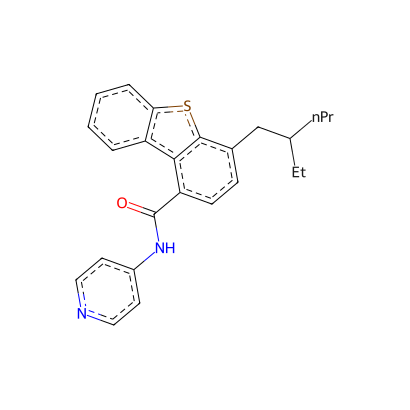 CCCC(CC)Cc1ccc(C(=O)Nc2ccncc2)c2c1sc1ccccc12